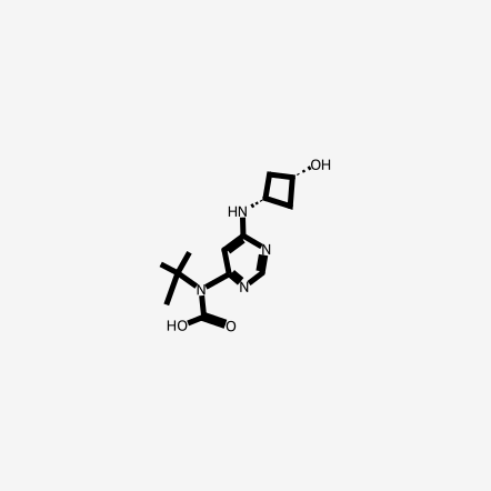 CC(C)(C)N(C(=O)O)c1cc(N[C@H]2C[C@@H](O)C2)ncn1